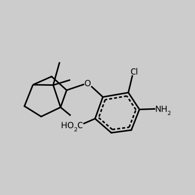 CC1(C)C2CCC1(C)C(Oc1c(C(=O)O)ccc(N)c1Cl)C2